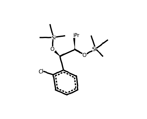 CC(C)[C@@H](O[Si](C)(C)C)[C@H](O[Si](C)(C)C)c1ccccc1Cl